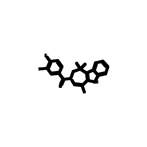 CC1=CN(C(=O)c2ccc(F)c(F)c2)CC(C)(C)c2c1[nH]c1ccccc21